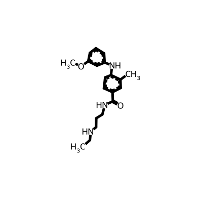 CCNCCCNC(=O)c1ccc(Nc2cccc(OC)c2)c(C)c1